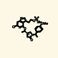 COc1ccc(C(C)N2C[C@H](C(C)Oc3nc(Cl)cc4ncn(CCO[Si](C)(C)C(C)(C)C)c34)CC2=O)cc1